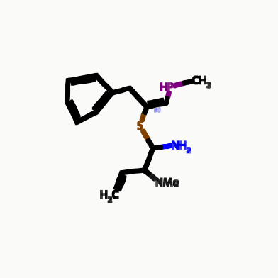 C=CC(NC)C(N)S/C(=C/PC)Cc1ccccc1